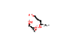 COC(O)CCCO.OCC1CO1